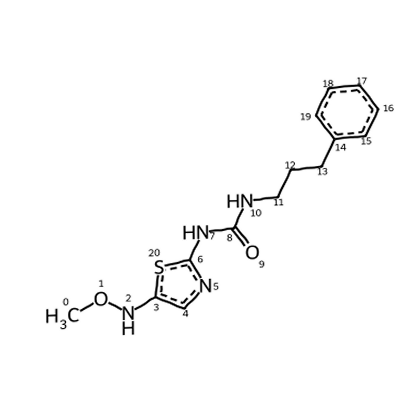 CONc1cnc(NC(=O)NCCCc2ccccc2)s1